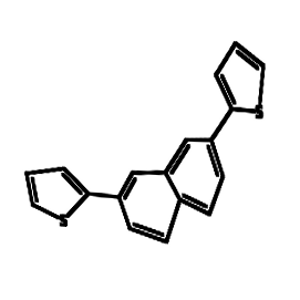 c1csc(-c2ccc3ccc(-c4cccs4)cc3c2)c1